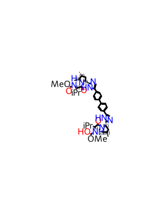 COC(=O)N[C@H](C(=O)N1[C@H](c2ncc(-c3ccc(-c4ccc(-c5cnc([C@@H]6C[C@@H](C)[C@H](C)N6C(=O)[C@@H](NC(O)OC)C(C)C)[nH]5)cc4)cc3)[nH]2)C[C@@H](C)[C@@H]1C)C(C)C